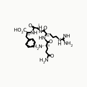 C[C@H](NC(=O)[C@H](CCCNC(=N)N)NC(=O)[C@@H](N)CCC(N)=O)C(=O)N[C@@H](Cc1ccccc1)C(=O)O